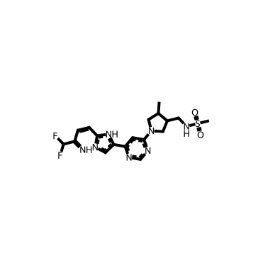 CC1CN(c2cc(-c3cnc(/C=C\C(=N)C(F)F)[nH]3)ncn2)CC1CNS(C)(=O)=O